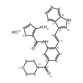 Cc1ccsc1C(=O)Nc1cc(C(=O)N2CCOCC2)ccc1C=Cc1n[nH]c2ccccc12.Cl